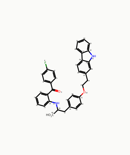 O=C(c1ccc(F)cc1)c1ccccc1NC(Cc1ccc(OCCc2ccc3c(c2)[nH]c2ccccc23)cc1)C(=O)O